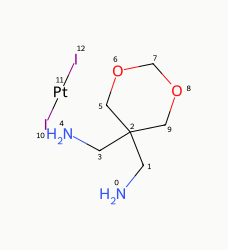 NCC1(CN)COCOC1.[I][Pt][I]